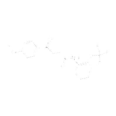 COc1ccc(C(=O)CCC(=O)Nc2ccc[c]c2OC(F)(F)F)cc1